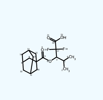 CC(C)C(OC(=O)C12CC3CC(CC(C3)C1)C2)C(F)(F)C(=O)O